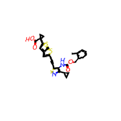 Cc1ccccc1COC(=O)Nc1c(C2CC2)nsc1C#Cc1cc2cc(C3(C(=O)O)CC3)sc2s1